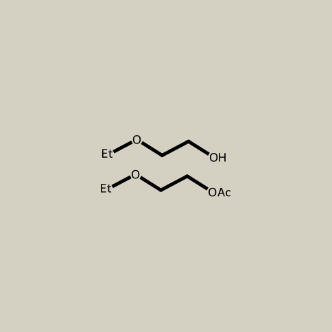 CCOCCO.CCOCCOC(C)=O